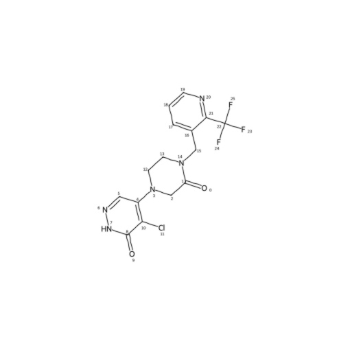 O=C1CN(c2cn[nH]c(=O)c2Cl)CCN1Cc1cccnc1C(F)(F)F